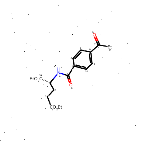 CCOC(=O)CC[C@@H](NC(=O)c1ccc(C(=O)CC)cc1)C(=O)OCC